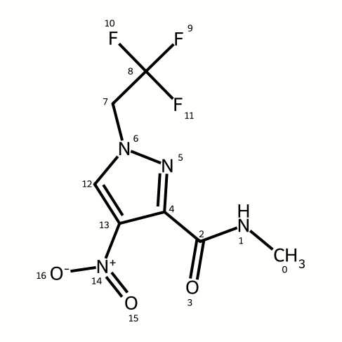 CNC(=O)c1nn(CC(F)(F)F)cc1[N+](=O)[O-]